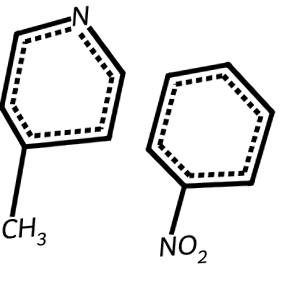 Cc1ccncc1.O=[N+]([O-])c1ccccc1